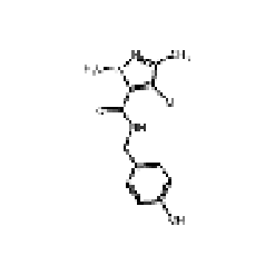 Cc1nn(C)c(C(=O)NCc2ccc(O)cc2)c1Cl